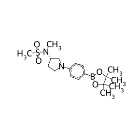 CN([C@H]1CCN(c2ccc(B3OC(C)(C)C(C)(C)O3)cc2)C1)S(C)(=O)=O